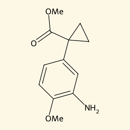 COC(=O)C1(c2ccc(OC)c(N)c2)CC1